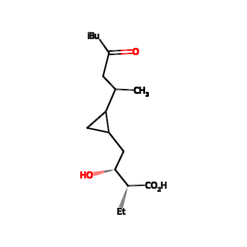 CCC(C)C(=O)CC(C)C1CC1C[C@@H](O)[C@@H](CC)C(=O)O